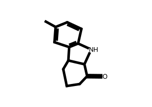 Cc1ccc2c(c1)C1CCCC(=O)C1N2